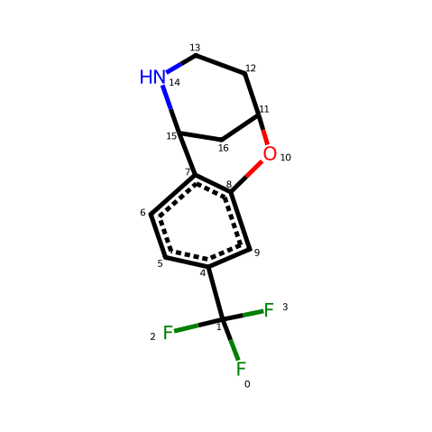 FC(F)(F)c1ccc2c(c1)OC1CCNC2C1